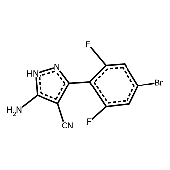 N#Cc1c(-c2c(F)cc(Br)cc2F)n[nH]c1N